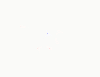 COC(=O)C1C2CC(=O)C=C2CN1C(=O)OCc1ccccc1